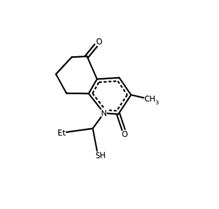 CCC(S)n1c2c(cc(C)c1=O)C(=O)CCC2